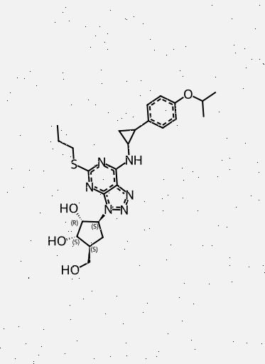 CCCSc1nc(NC2CC2c2ccc(OC(C)C)cc2)c2nnn([C@H]3C[C@@H](CO)[C@H](O)[C@@H]3O)c2n1